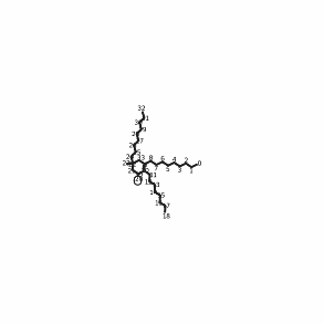 CCCCCCCCCC1=C(CCCCCCCC)C(=O)CC(C)(CCCCCCCCC)C1